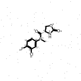 CN(C(=O)[C@@H]1COC(=O)N1)c1ccc(F)c(Cl)c1